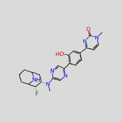 CN(c1cnc(-c2ccc(-c3ccn(C)c(=O)n3)cc2O)cn1)[C@H]1CC2CCCC(N2)[C@H]1F